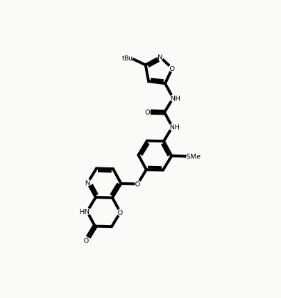 CSc1cc(Oc2ccnc3c2OCC(=O)N3)ccc1NC(=O)Nc1cc(C(C)(C)C)no1